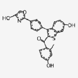 Cc1cc(O)ccc1C(=O)c1sc2cc(O)ccc2c1-c1ccc(-c2nc(O)co2)cc1